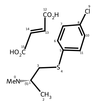 CN[C@@H](C)CSc1ccc(Cl)cc1.O=C(O)C=CC(=O)O